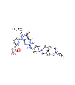 C=CCn1c(=O)c2cnc(Nc3ccc(N4CCC5(CCN(C)CC5)CC4)cc3)nc2n1-c1cccc(C2(O)COC2)n1